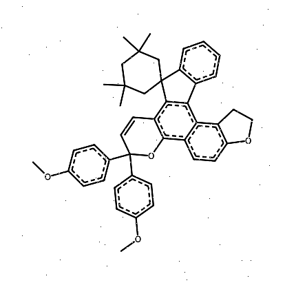 COc1ccc(C2(c3ccc(OC)cc3)C=Cc3c4c(c5c6c(ccc5c3O2)OCC6)-c2ccccc2C42CC(C)(C)CC(C)(C)C2)cc1